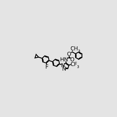 C[C@@H](OC(=O)Nc1c(C(F)(F)F)cnn1-c1ccc(-c2ccc(C3CC3)cc2F)cc1)c1ccccc1